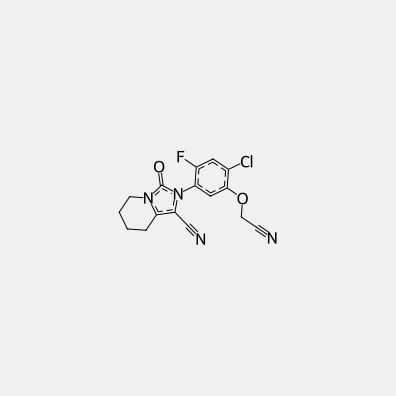 N#CCOc1cc(-n2c(C#N)c3n(c2=O)CCCC3)c(F)cc1Cl